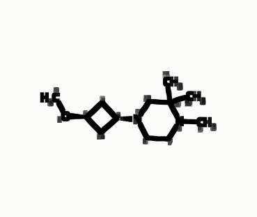 CO[C@H]1C[C@H](N2CCN(C)C(C)(C)C2)C1